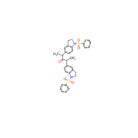 CC(C(=O)C(C)c1ccc2c(c1)CCN2S(=O)(=O)c1ccccc1)c1ccc2c(c1)CCN2S(=O)(=O)c1ccccc1